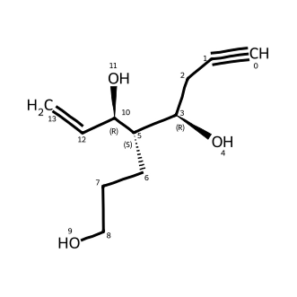 C#CC[C@@H](O)[C@H](CCCO)[C@H](O)C=C